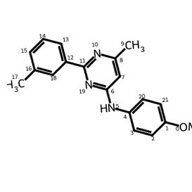 COc1ccc(Nc2cc(C)nc(-c3cccc(C)c3)n2)cc1